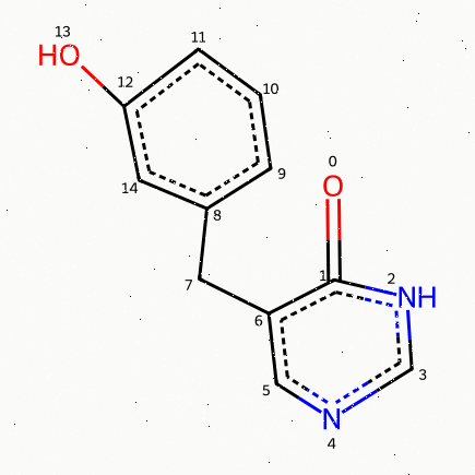 O=c1[nH]cncc1Cc1cccc(O)c1